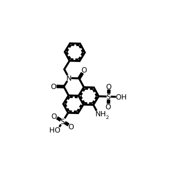 Nc1c(S(=O)(=O)O)cc2c3c(cc(S(=O)(=O)O)cc13)C(=O)N(Cc1ccccc1)C2=O